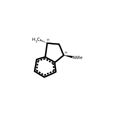 CN[C@@H]1C[C@@H](C)c2ccccc21